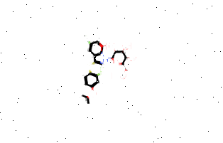 CC(C)Oc1ccc(Sc2cn([C@@H]3O[C@H](CO)[C@@H](O)[C@H](O)[C@H]3O)c3ccc(F)cc23)c(F)c1